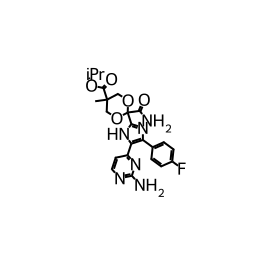 CC(C)OC(=O)C1(C)COC(C(N)=O)(c2nc(-c3ccc(F)cc3)c(-c3ccnc(N)n3)[nH]2)OC1